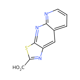 O=C(O)c1nc2cc3cccnc3nc2s1